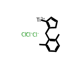 Cc1cccc(C)c1CC1=[C]([Ti+3])C=CC1.[Cl-].[Cl-].[Cl-]